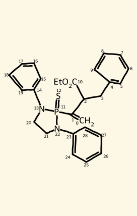 C=C(C(Cc1ccccc1)C(=O)OCC)P1(=S)N(c2ccccc2)CCN1c1ccccc1